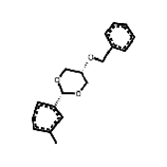 Cc1cccc([C@H]2OC[C@@H](OCc3ccccc3)CO2)c1